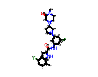 Cc1ccc(F)c2cc(C(=O)Nc3cc(F)cc(N4CC[C@@H](N5CCN(C)C(=O)C5)C4)c3)[nH]c12